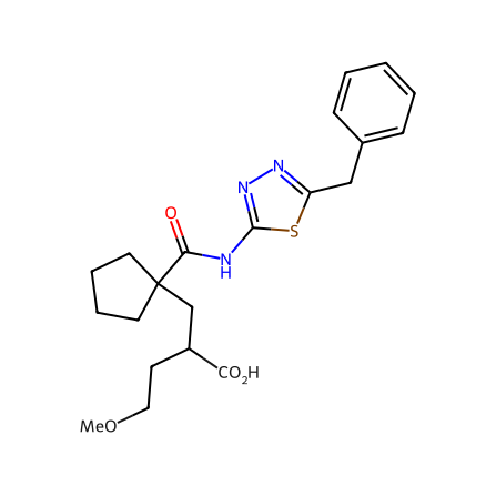 COCCC(CC1(C(=O)Nc2nnc(Cc3ccccc3)s2)CCCC1)C(=O)O